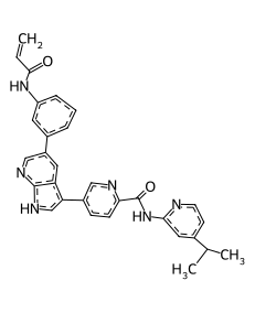 C=CC(=O)Nc1cccc(-c2cnc3[nH]cc(-c4ccc(C(=O)Nc5cc(C(C)C)ccn5)nc4)c3c2)c1